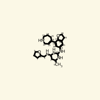 CC1CC(NCC2CCCO2)NC(Nc2cc3c(c(C4=CCNCCC4)c2)OCC3)N1